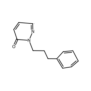 O=c1cc[c]nn1CCCc1ccccc1